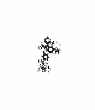 COc1ncccc1-c1c(C(=O)O)n(Cc2ccnc(NC(=O)OC(C)(C)C)c2)c2ccc(OC(F)(F)F)cc12